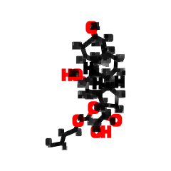 CCCCOCO[C@]1(C(=O)CO)CC[C@H]2[C@@H]3CCC4=CC(=O)CC[C@]4(C)[C@H]3C(O)C[C@@]21C